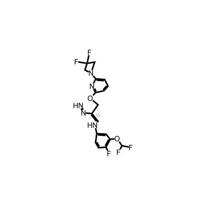 N=N/C(=C\Nc1ccc(F)c(OC(F)F)c1)COc1cccc(N2CC(F)(F)C2)n1